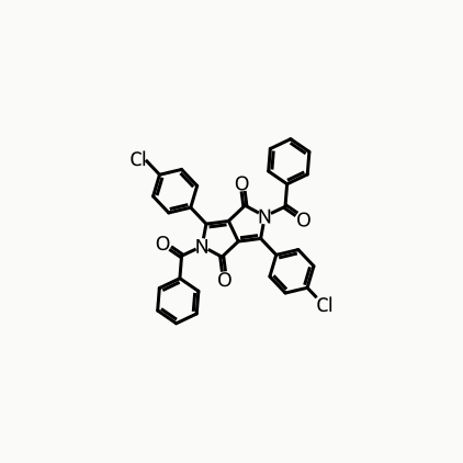 O=C1C2=C(c3ccc(Cl)cc3)N(C(=O)c3ccccc3)C(=O)C2=C(c2ccc(Cl)cc2)N1C(=O)c1ccccc1